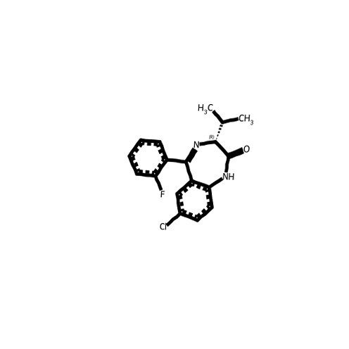 CC(C)[C@H]1N=C(c2ccccc2F)c2cc(Cl)ccc2NC1=O